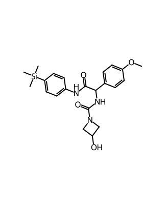 COc1ccc(C(NC(=O)N2CC(O)C2)C(=O)Nc2ccc([Si](C)(C)C)cc2)cc1